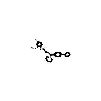 COc1cc(C(C)=O)ccc1OCCCC(c1ccc(-c2ccccc2)cc1)N1CCCCC1